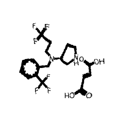 FC(F)(F)CCN(Cc1ccccc1C(F)(F)F)[C@H]1CCNC1.O=C(O)/C=C/C(=O)O